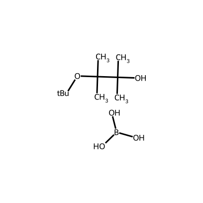 CC(C)(C)OC(C)(C)C(C)(C)O.OB(O)O